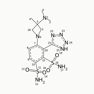 CN(C)C1(C)CN(c2ccc(S(N)(=O)=O)c(S(N)(=O)=O)c2-c2nnn[nH]2)C1